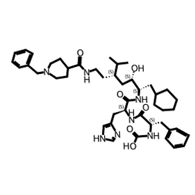 CC(C)[C@@H](CCNC(=O)C1CCN(Cc2ccccc2)CC1)C[C@H](O)[C@H](CC1CCCCC1)NC(=O)[C@H](Cc1c[nH]cn1)NC(=O)[C@H](Cc1ccccc1)NC(=O)O